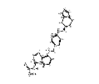 COC(=O)Nc1nccc2c(NCc3ccc(O/C=C4/CCn5ccnc5C4)nc3)cccc12